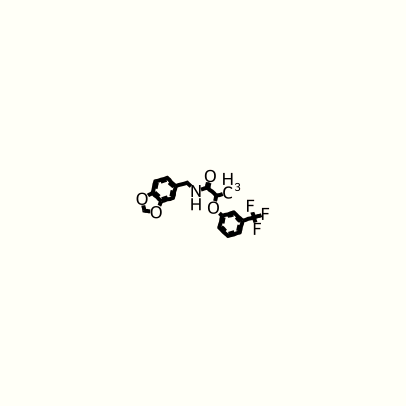 CC(Oc1cccc(C(F)(F)F)c1)C(=O)NCc1ccc2c(c1)OCO2